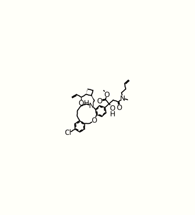 C=CCCN(C)C(=O)CC(O)(C(=O)OC)c1ccc2c(c1)N(C[C@@H]1CC[C@H]1[C@@H](O)C=C)CCCCc1cc(Cl)ccc1CO2